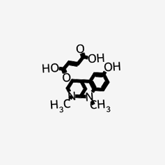 CN1CCC2CC1N(C)c1ccc(O)cc12.O=C(O)/C=C/C(=O)O